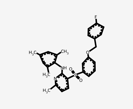 Cc1cc(C)c(Nc2nc(C)ccc2S(=O)(=O)c2cccc(OCc3ccc(F)cc3)c2)c(C)c1